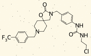 O=C(NCCCl)Nc1ccc(CN2CC3(CCN(Cc4ccc(C(F)(F)F)cc4)CC3)OC2=O)cc1